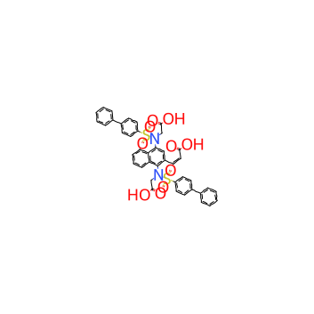 O=C(O)/C=C\c1cc(N(CC(=O)O)S(=O)(=O)c2ccc(-c3ccccc3)cc2)c2ccccc2c1N(CC(=O)O)S(=O)(=O)c1ccc(-c2ccccc2)cc1